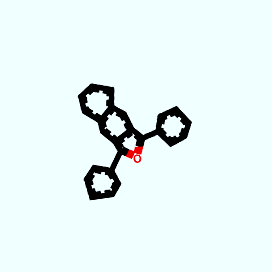 c1ccc(-c2oc(-c3ccccc3)c3cc4ccccc4cc23)cc1